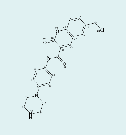 O=C(Oc1ccc(N2CCNCC2)cc1)c1cc2cc(CCl)ccc2oc1=O